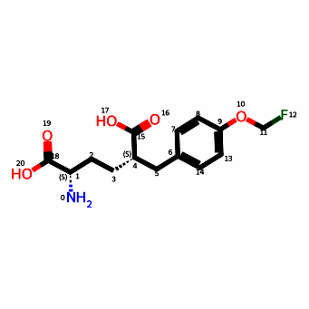 N[C@@H](CC[C@@H](Cc1ccc(OCF)cc1)C(=O)O)C(=O)O